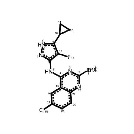 Cl.O=Cc1nc(Nc2n[nH]c(C3CC3)c2F)c2cc(Cl)ccc2n1